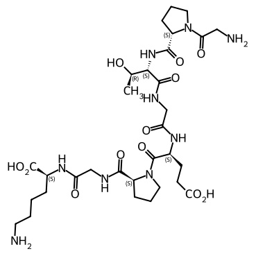 C[C@@H](O)[C@H](NC(=O)[C@@H]1CCCN1C(=O)CN)C(=O)NCC(=O)N[C@@H](CCC(=O)O)C(=O)N1CCC[C@H]1C(=O)NCC(=O)N[C@@H](CCCCN)C(=O)O